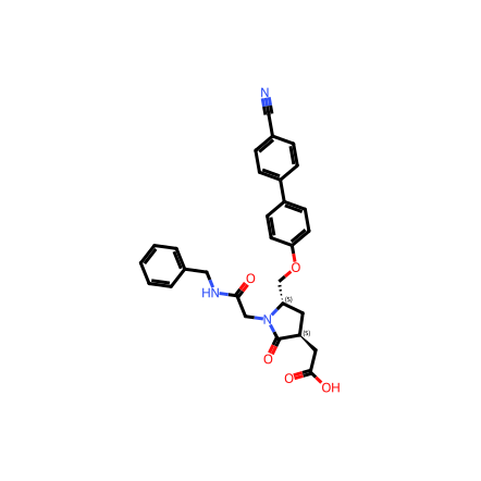 N#Cc1ccc(-c2ccc(OC[C@@H]3C[C@@H](CC(=O)O)C(=O)N3CC(=O)NCc3ccccc3)cc2)cc1